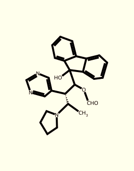 CC([C@H](c1cncnc1)C(OC=O)C1(O)c2ccccc2-c2ccccc21)N1CCCC1